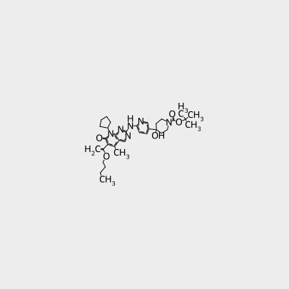 C=C(OCCCC)c1c(C)c2cnc(Nc3ccc(C4(O)CCN(C(=O)OC(C)(C)C)CC4)cn3)nc2n(C2CCCC2)c1=O